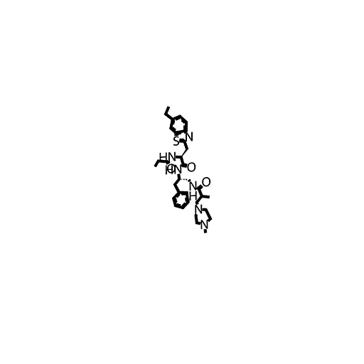 CCC(=O)N[C@@H](Cc1nc2ccc(CC)cc2s1)C(=O)N[C@H](CNC(=O)C(C)CN1CCN(C)CC1)Cc1ccccc1